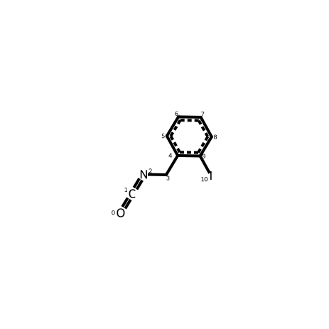 O=C=NCc1ccccc1I